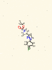 CC1CN(C(=O)OC(C)(C)C)CCC1c1ccn(-c2ccc(F)cc2)n1